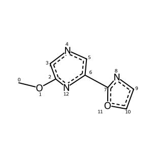 COc1[c]ncc(-c2ncco2)n1